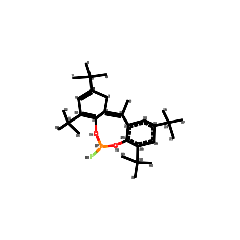 C/C1=C2\CC(C(C)(C)C)=CC(C(C)(C)C)=C2OP(F)Oc2c1cc(C(C)(C)C)cc2C(C)(C)C